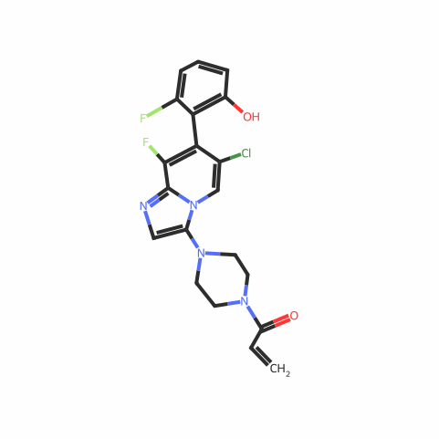 C=CC(=O)N1CCN(c2cnc3c(F)c(-c4c(O)cccc4F)c(Cl)cn23)CC1